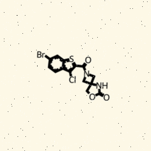 O=C1NC2(CO1)CN(C(=O)c1sc3cc(Br)ccc3c1Cl)C2